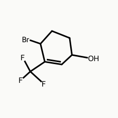 OC1C=C(C(F)(F)F)C(Br)CC1